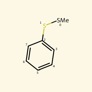 CSSc1cc[c]cc1